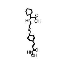 O=C(C=Cc1ccc(OCCCN[C@H](C(=O)O)C2CCCCC2)cc1)NO